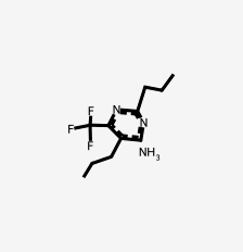 CCCc1ncc(CCC)c(C(F)(F)F)n1.N